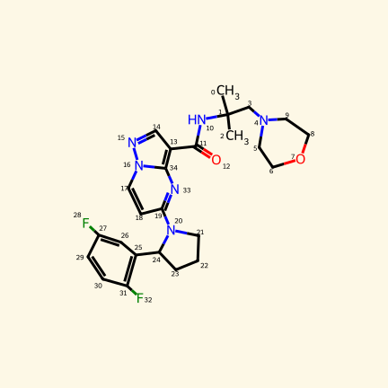 CC(C)(CN1CCOCC1)NC(=O)c1cnn2ccc(N3CCCC3c3cc(F)ccc3F)nc12